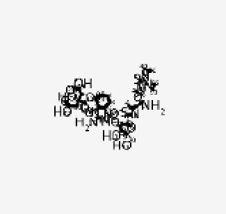 NC(=O)c1csc([C@@H]2O[C@H](CO)[C@@H](O)[C@H]2O)n1.Nc1n[n+]([O-])c2ccccc2[n+]1[O-].O=C(O)CC(O)(CC(=O)O)C(=O)O.S=P(N1CC1)(N1CC1)N1CC1